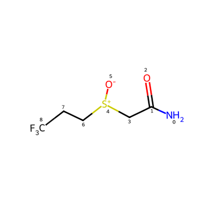 NC(=O)C[S+]([O-])CCC(F)(F)F